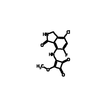 COc1c(Nc2c(F)cc(Cl)c3c2C(=O)NC3)c(=O)c1=O